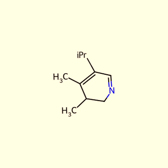 CC1=C(C(C)C)C=NCC1C